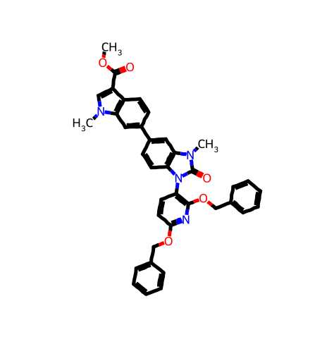 COC(=O)c1cn(C)c2cc(-c3ccc4c(c3)n(C)c(=O)n4-c3ccc(OCc4ccccc4)nc3OCc3ccccc3)ccc12